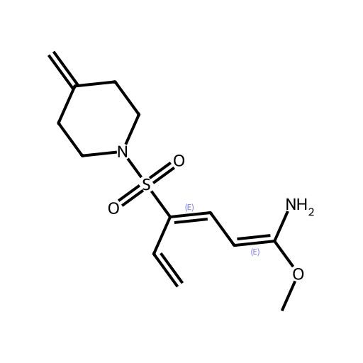 C=C/C(=C\C=C(/N)OC)S(=O)(=O)N1CCC(=C)CC1